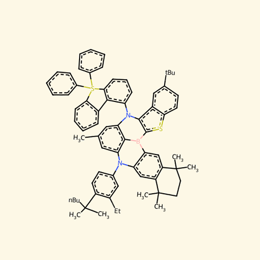 CCCCC(C)(C)c1ccc(N2c3cc4c(cc3B3c5sc6ccc(C(C)(C)C)cc6c5N(c5cccc6c5-c5ccccc5S6(c5ccccc5)c5ccccc5)c5cc(C)cc2c53)C(C)(C)CCC4(C)C)cc1CC